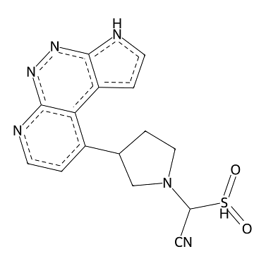 N#CC(N1CCC(c2ccnc3nnc4[nH]ccc4c23)C1)[SH](=O)=O